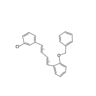 Clc1cccc(/C=C/C=C/c2ccccc2OCc2ccccc2)c1